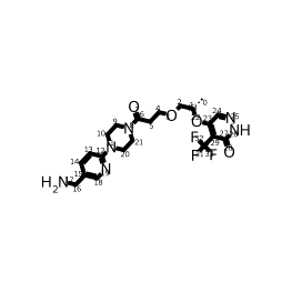 C[C@@H](COCCC(=O)N1CCN(c2ccc(CN)cn2)CC1)Oc1cn[nH]c(=O)c1C(F)(F)F